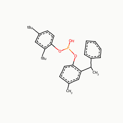 Cc1ccc(OP(O)Oc2ccc(C(C)(C)C)cc2C(C)(C)C)c(C(C)c2ccccc2)c1